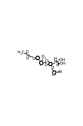 C=CC(=O)NCCCOc1cccc(-c2cccc(COc3cc(OCc4cncc(C#N)c4)c(CN[C@H](CO)C(=O)O)cc3Cl)c2C)c1